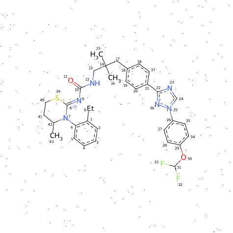 CCc1ccccc1N1/C(=N/C(=O)NCC(C)(C)Cc2ccc(-c3ncn(-c4ccc(OC(F)F)cc4)n3)cc2)SCCC1C